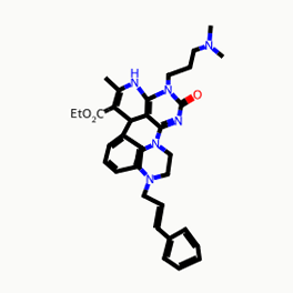 CCOC(=O)C1=C(C)Nc2c(c(N3CCN(C/C=C/c4ccccc4)CC3)nc(=O)n2CCCN(C)C)C1c1ccccc1